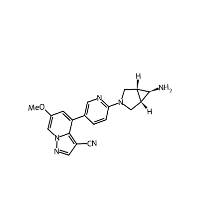 COc1cc(-c2ccc(N3C[C@@H]4[C@@H](N)[C@@H]4C3)nc2)c2c(C#N)cnn2c1